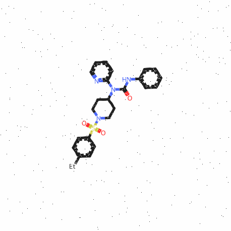 CCc1ccc(S(=O)(=O)N2CCC(N(C(=O)Nc3ccccc3)c3ccccn3)CC2)cc1